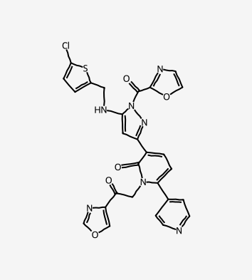 O=C(Cn1c(-c2ccncc2)ccc(-c2cc(NCc3ccc(Cl)s3)n(C(=O)c3ncco3)n2)c1=O)c1cocn1